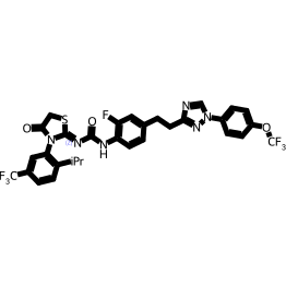 CC(C)c1ccc(C(F)(F)F)cc1N1C(=O)CS/C1=N\C(=O)Nc1ccc(CCc2ncn(-c3ccc(OC(F)(F)F)cc3)n2)cc1F